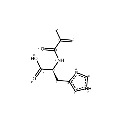 C=C(C)C(=O)N[C@@H](Cc1c[nH]cn1)C(=O)O